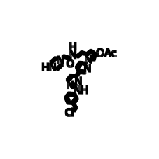 CC(=O)OC1CC(CCNC(=O)CN2CCNCC2)N(c2ccc(-c3ccnc(Nc4cccc(CCl)c4)n3)cn2)C1